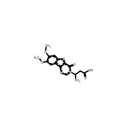 COc1cc2sc3c(=O)n(C(C)CC(=O)O)cnc3c2cc1OC